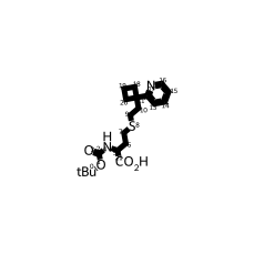 CC(C)(C)OC(=O)NC(CCSCCC1(c2ccccn2)CCC1)C(=O)O